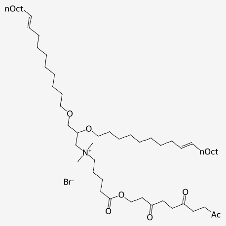 CCCCCCCCC=CCCCCCCCCOCC(C[N+](C)(C)CCCCC(=O)OCCC(=O)CCC(=O)CCC(C)=O)OCCCCCCCCC=CCCCCCCCC.[Br-]